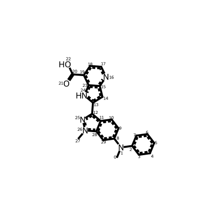 CN(c1ccccc1)c1ccc2c(-c3cc4nccc(C(=O)O)c4[nH]3)nn(C)c2c1